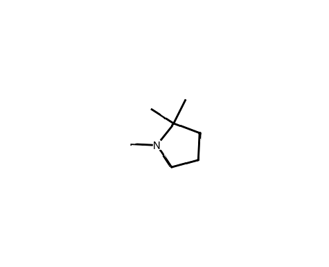 CN1CCCC1(C)C